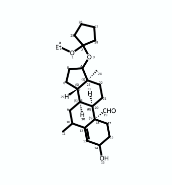 CCOC1(OC2CC[C@H]3[C@@H]4CC(C)C5=CC(O)CC[C@]5(C=O)[C@@H]4CC[C@]23C)CCCC1